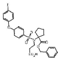 O=C(O)CCN(C1(C(=O)OCc2ccccc2)CCCC1)S(=O)(=O)c1ccc(Oc2ccc(F)cc2)cc1